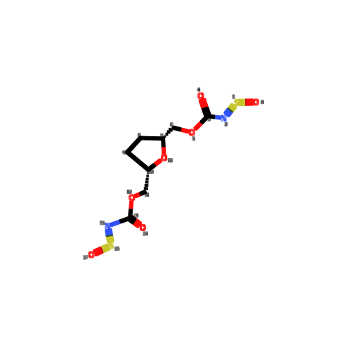 O=S=NC(=O)OC[C@H]1CC[C@@H](COC(=O)N=S=O)O1